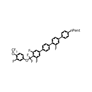 CCCCCc1ccc(-c2ccc(-c3ccc(-c4cc(F)c(C(F)(F)Oc5ccc(OC(F)(F)F)c(F)c5)c(F)c4)cc3)c(F)c2)cc1